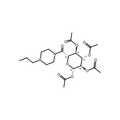 CCCN1CCN(C(=O)[C@H]2O[C@@H](OC(C)=O)[C@H](OC(C)=O)[C@@H](OC(C)=O)[C@@H]2OC(C)=O)CC1